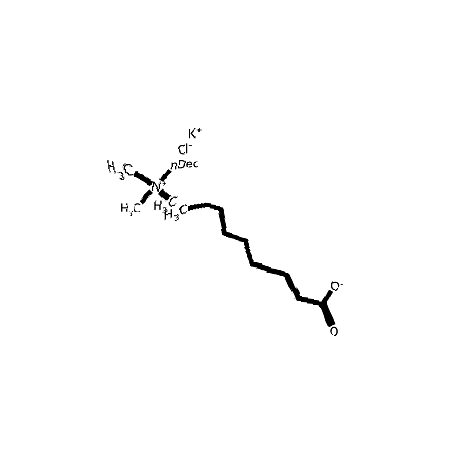 CCCCCCCC(=O)[O-].CCCCCCCCCC[N+](C)(C)C.[Cl-].[K+]